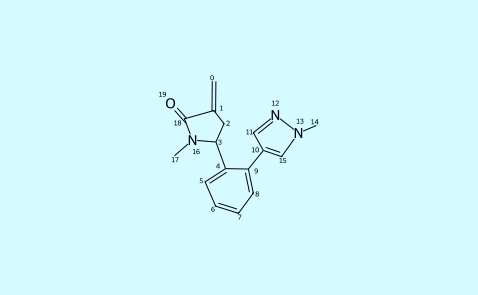 C=C1CC(c2ccccc2-c2cnn(C)c2)N(C)C1=O